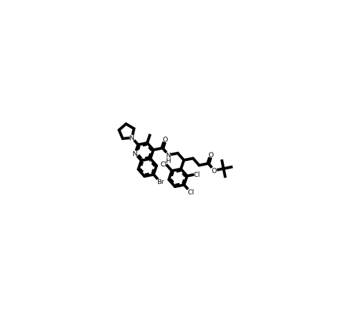 Cc1c(N2CCCC2)nc2ccc(Br)cc2c1C(=O)NCC(CCC(=O)OC(C)(C)C)c1c(Cl)ccc(Cl)c1Cl